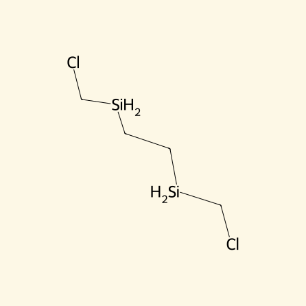 ClC[SiH2]CC[SiH2]CCl